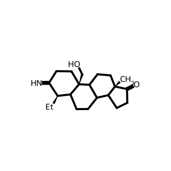 CC[C@H]1C(=N)CC[C@]2(CO)C3CC[C@]4(C)C(=O)CCC4C3CCC12